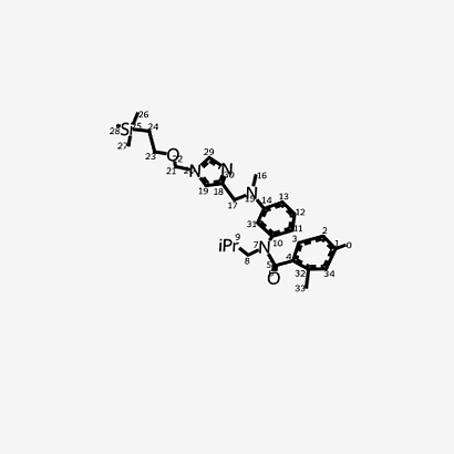 Cc1ccc(C(=O)N(CC(C)C)c2cccc(N(C)Cc3cn(COCC[Si](C)(C)C)cn3)c2)c(C)c1